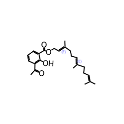 CC(=O)c1cccc(C(=O)OC/C=C(\C)CC/C=C(\C)CCC=C(C)C)c1O